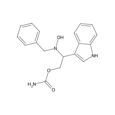 NC(=O)OCC(c1c[nH]c2ccccc12)N(O)Cc1ccccc1